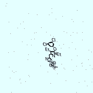 CCc1c(Cc2cn(S(=O)(=O)N(C)C)cn2)nn(CC)c1Oc1cc(Cl)cc(Cl)c1